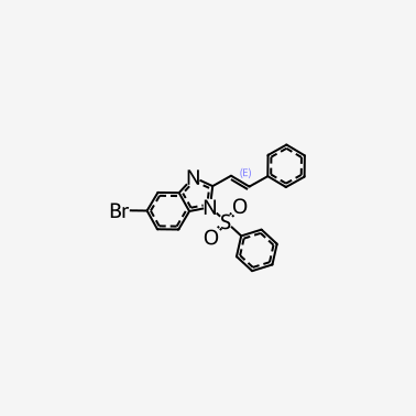 O=S(=O)(c1ccccc1)n1c(/C=C/c2ccccc2)nc2cc(Br)ccc21